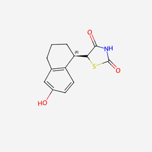 O=C1NC(=O)C([C@@H]2CCCc3cc(O)ccc32)S1